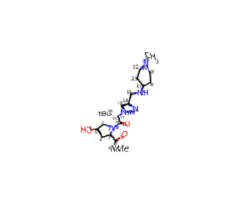 CNC(=O)C1CC(O)CN1C(=O)[C@@H](n1cc(CNC2CCN(C)CC2)nn1)C(C)(C)C